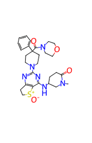 CN1CC(Nc2nc(N3CCC(C(=O)N4CCOCC4)(c4ccccc4)CC3)nc3c2[S+]([O-])CC3)CCC1=O